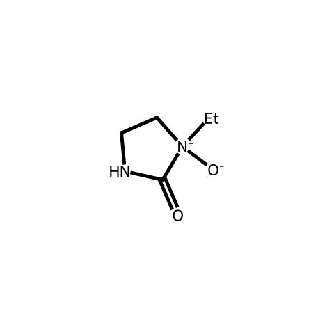 [CH2]C[N+]1([O-])CCNC1=O